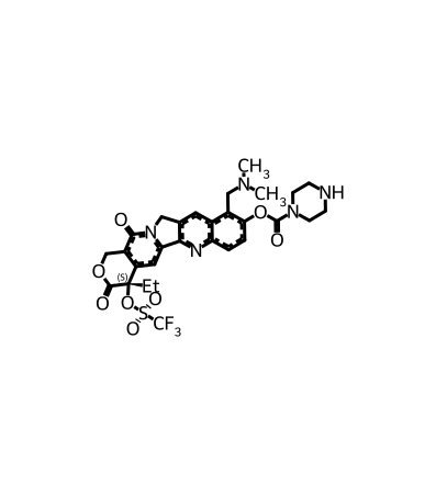 CC[C@@]1(OS(=O)(=O)C(F)(F)F)C(=O)OCc2c1cc1n(c2=O)Cc2cc3c(CN(C)C)c(OC(=O)N4CCNCC4)ccc3nc2-1